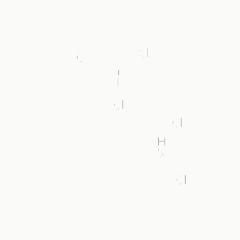 Cl[SiH](Cl)Cl.Cl[SiH](Cl)c1ccccc1